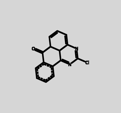 O=C1c2ccccc2C2=NC(Cl)=NC3=CC=CC1C32